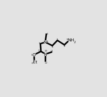 CCOC(CN(C)CCCN)N(C)C